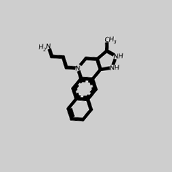 CC1NNC2c3cc4c(cc3N(CCCN)CC12)C=CCC4